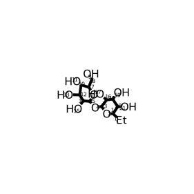 CCC1OC(OC2OC(CO)C(O)C(O)C2O)C(O)C(O)C1O